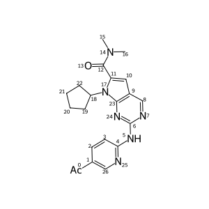 CC(=O)c1ccc(Nc2ncc3cc(C(=O)N(C)C)n(C4CCCC4)c3n2)nc1